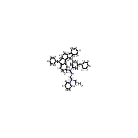 C=C/C(=C\C=C(/C)c1nc(-c2ccccc2)nc(-n2c3ccccc3c3ccc4c(c5ccccc5n4-c4ccccc4)c32)n1)c1ccccc1